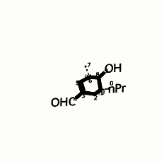 CCC[C@@H]1CC(C=O)=C[C@H](C)C1O